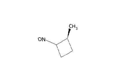 C[C@H]1CCC1N=O